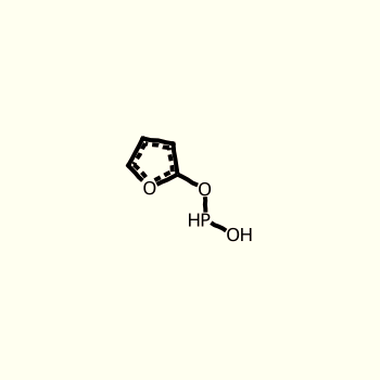 OPOc1ccco1